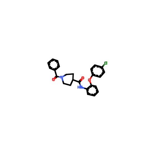 O=C(Nc1ccccc1Oc1ccc(Cl)cc1)C1CCN(C(=O)c2ccccc2)CC1